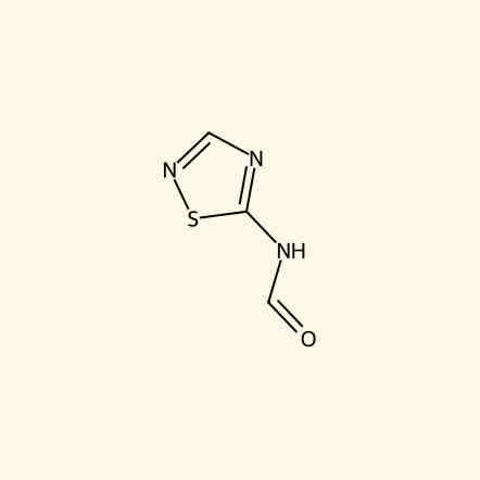 O=CNc1ncns1